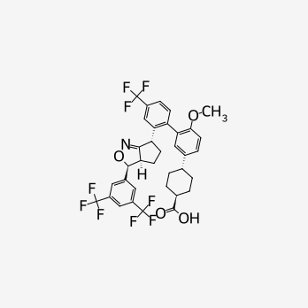 COc1ccc([C@H]2CC[C@H](C(=O)O)CC2)cc1-c1ccc(C(F)(F)F)cc1[C@@H]1CC[C@@H]2C1=NO[C@@H]2c1cc(C(F)(F)F)cc(C(F)(F)F)c1